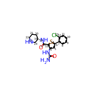 NC(=O)Nc1cc(-c2ccccc2Cl)sc1C(=O)N[C@H]1CCCNC1